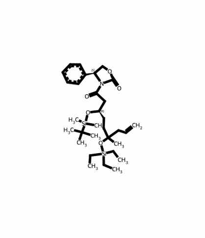 C=CCC(C)(CC[C@H](CC(=O)N1C(=O)OC[C@@H]1c1ccccc1)O[Si](C)(C)C(C)(C)C)O[Si](CC)(CC)CC